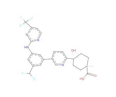 C[C@]1(C(=O)O)CC[C@@](O)(c2ccc(-c3cc(Nc4nccc(C(F)(F)F)n4)cc(C(F)F)c3)cn2)CC1